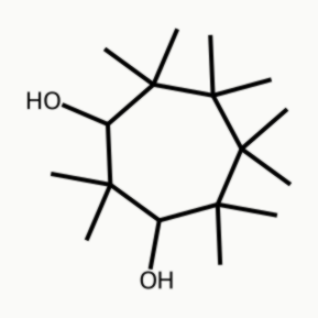 CC1(C)C(O)C(C)(C)C(C)(C)C(C)(C)C(C)(C)C1O